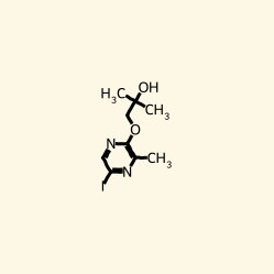 Cc1nc(I)cnc1OCC(C)(C)O